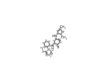 Cc1nn(C)cc1Nc1cc(Nc2cccc3c2C(C=O)N(C)CC3)c(F)cn1